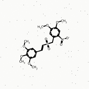 COc1cc(CS(=O)(=O)C=Cc2cc(OC)c(OC)c(OC)c2)c([N+](=O)[O-])cc1OC